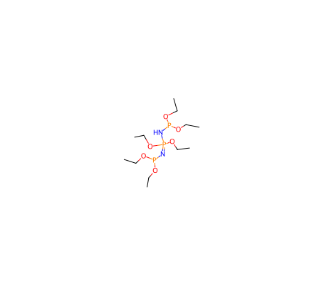 CCOP(N=P(NP(OCC)OCC)(OCC)OCC)OCC